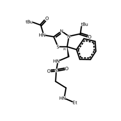 CCNCCS(=O)(=O)NC[C@@]1(c2ccccc2)SC(NC(=O)C(C)(C)C)=NN1C(=O)C(C)(C)C